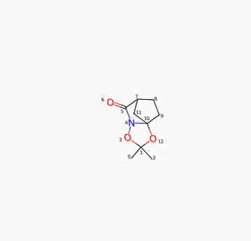 CC1(C)ON2C(=O)C3CCC2(C3)O1